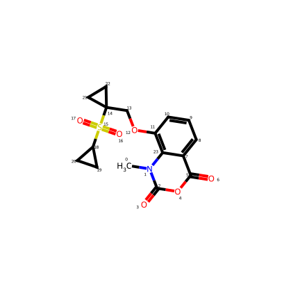 Cn1c(=O)oc(=O)c2cccc(OCC3(S(=O)(=O)C4CC4)CC3)c21